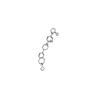 O=C1CCCN1c1ccc(N2CCC(c3ccc4c(c3)CCN(C3CCC3)CC4)CC2)nc1